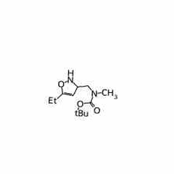 CCC1=CC(CN(C)C(=O)OC(C)(C)C)NO1